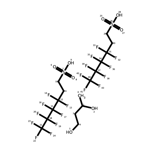 CC(O)CCO.O=S(=O)(O)CCC(F)(F)C(F)(F)C(F)(F)C(F)(F)F.O=S(=O)(O)CCC(F)(F)C(F)(F)C(F)(F)C(F)(F)F